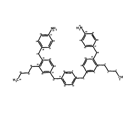 CCCCc1cc(Cc2ccc(Cc3ccc(Cc4ccc(N)cc4)c(CCCC)c3)cc2)ccc1Cc1ccc(N)cc1